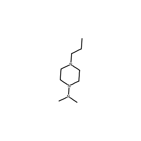 CCCN1CCN(N(C)C)CC1